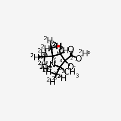 [2H]OC(=O)C1([O])C([2H])([2H])C(C([2H])([2H])[2H])(C([2H])([2H])[2H])N([2H])C1(C)C([2H])([2H])[2H]